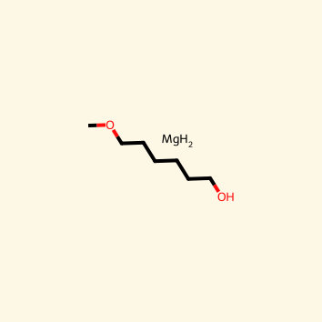 COCCCCCCO.[MgH2]